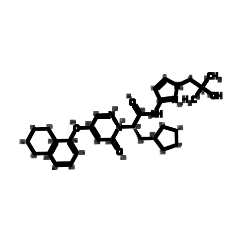 CC(C)(O)Cn1ccc(NC(=O)[C@H](CC2CCCC2)n2ncc(Oc3cccc4c3CCCC4)cc2=O)n1